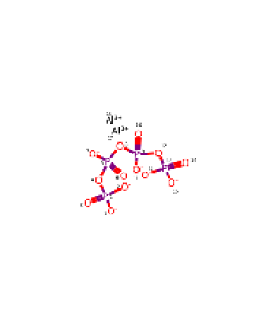 O=P([O-])([O-])OP(=O)([O-])OP(=O)([O-])OP(=O)([O-])[O-].[Al+3].[Al+3]